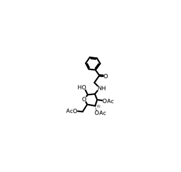 CC(=O)OCC1OC(O)C(NCC(=O)c2ccccc2)C(OC(C)=O)[C@@H]1OC(C)=O